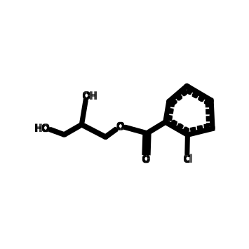 O=C(OCC(O)CO)c1ccccc1Cl